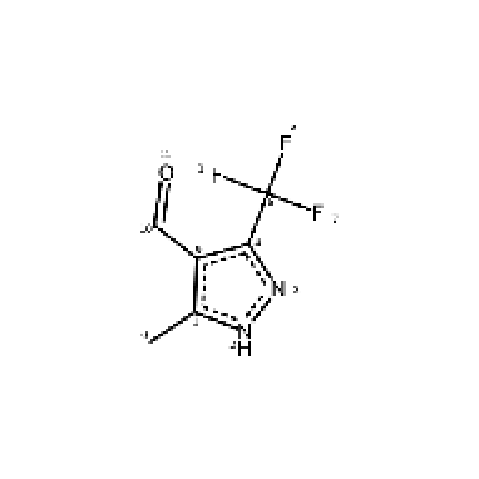 Cc1[nH]nc(C(F)(F)F)c1C=O